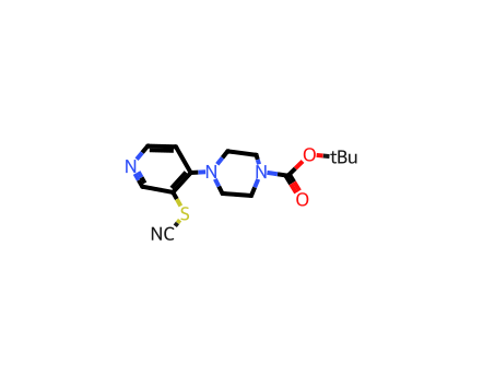 CC(C)(C)OC(=O)N1CCN(c2ccncc2SC#N)CC1